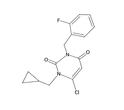 O=c1cc(Cl)n(CC2CC2)c(=O)n1Cc1ccccc1F